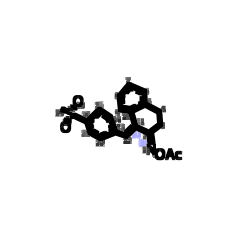 CC(=O)O/N=C1\CCc2ccccc2\C1=C/c1ccc(S(C)(=O)=O)cc1